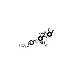 Nc1cc2c(Nc3ccc(F)c(F)c3F)ncnc2cc1OCC1CCN(C(=O)O)CC1